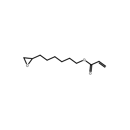 C=CC(=O)OCCCCCCC1CO1